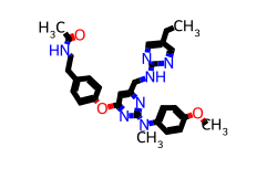 CCc1cnc(NCc2cc(Oc3ccc(CCNC(C)=O)cc3)nc(N(C)c3ccc(OC)cc3)n2)nc1